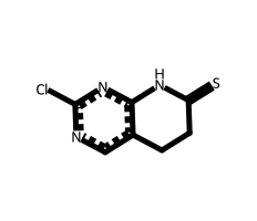 S=C1CCc2cnc(Cl)nc2N1